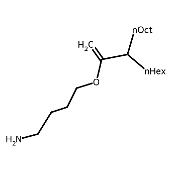 C=C(OCCCCN)C(CCCCCC)CCCCCCCC